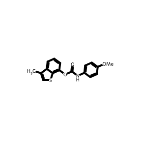 COc1ccc(NC(=O)Oc2cccc3c(C)csc23)cc1